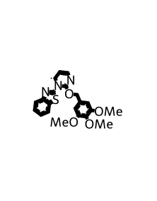 COc1cc(COC2=NC=C[CH]N2c2nc3ccccc3s2)cc(OC)c1OC